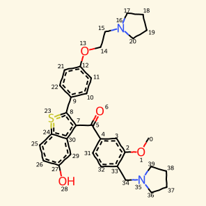 COc1cc(C(=O)c2c(-c3ccc(OCCN4CCCC4)cc3)sc3ccc(O)cc23)ccc1CN1CCCC1